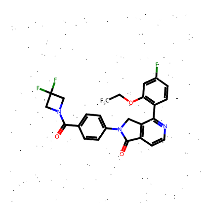 O=C(c1ccc(N2Cc3c(ccnc3-c3ccc(F)cc3OCC(F)(F)F)C2=O)cc1)N1CC(F)(F)C1